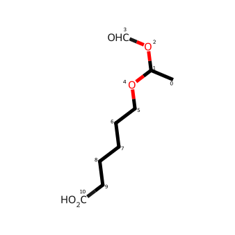 CC(OC=O)OCCCCCC(=O)O